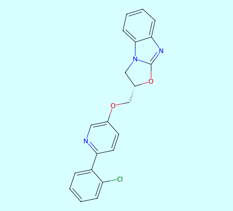 Clc1ccccc1-c1ccc(OC[C@@H]2Cn3c(nc4ccccc43)O2)cn1